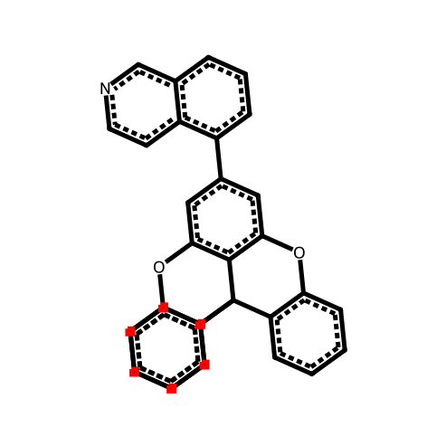 c1ccc(C23c4ccccc4Oc4cc(-c5cccc6cnccc56)cc(c42)Oc2ccccc23)cc1